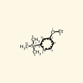 CCOc1ccn[c]([Sn]([CH3])([CH3])[CH3])c1